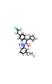 [CH2]c1cccc(NC(=O)C(c2ccc(CC(F)F)cc2)C2CCCC2)c1